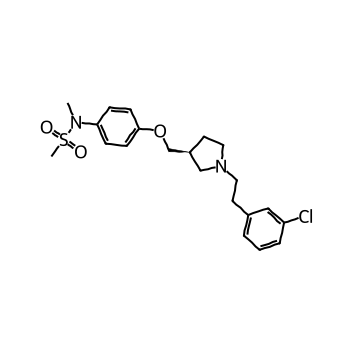 CN(c1ccc(OC[C@H]2CCN(CCc3cccc(Cl)c3)C2)cc1)S(C)(=O)=O